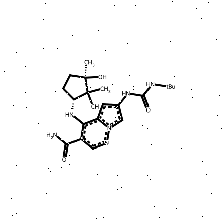 CC(C)(C)NC(=O)Nc1cc2c(N[C@@H]3CC[C@@](C)(O)C3(C)C)c(C(N)=O)cnn2c1